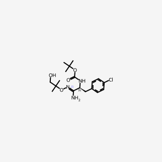 CC(C)(C)OC(=O)N[C@@H](Cc1ccc(Cl)cc1)/C(N)=N/OC(C)(C)CO